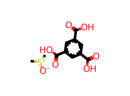 C[S+](C)[O-].O=C(O)c1cc(C(=O)O)cc(C(=O)O)c1